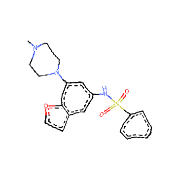 CN1CCN(c2cc(NS(=O)(=O)c3ccccc3)cc3ccoc23)CC1